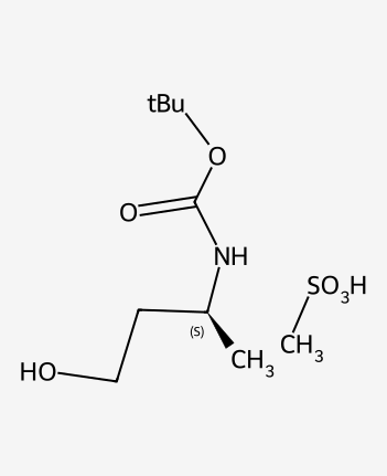 CS(=O)(=O)O.C[C@@H](CCO)NC(=O)OC(C)(C)C